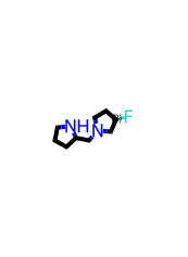 F[C@@H]1CCN(CC2CCCN2)C1